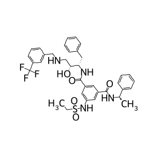 CCS(=O)(=O)Nc1cc(C(=O)N[C@@H](Cc2ccccc2)[C@H](O)CNCc2cccc(C(F)(F)F)c2)cc(C(=O)N[C@H](C)c2ccccc2)c1